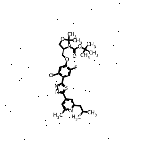 Cc1cc(-c2nnc(-c3cc(F)c(OC[C@H]4COC(C)(C)N4C(=O)OC(C)(C)C)cc3Cl)s2)cc(CC(C)C)n1